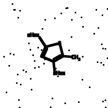 CCCCCCc1cc(CCCCCC)c(C)s1